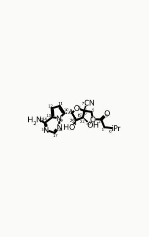 CC(C)CC(=O)OC[C@@]1(C#N)O[C@@H](c2ccc3c(N)ncnn23)[C@H](O)[C@@H]1O